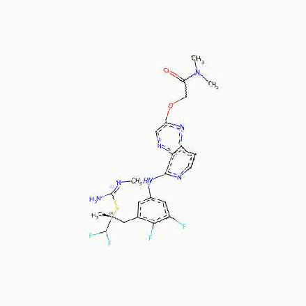 C/N=C(/N)S[C@](C)(Cc1cc(Nc2nccc3nc(OCC(=O)N(C)C)cnc23)cc(F)c1F)C(F)F